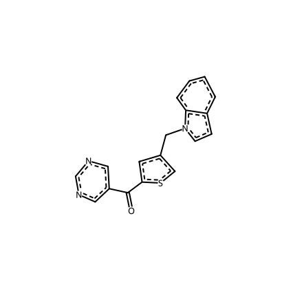 O=C(c1cncnc1)c1cc(Cn2ccc3ccccc32)cs1